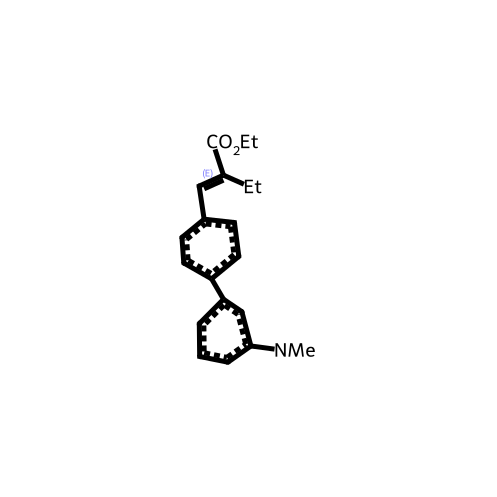 CCOC(=O)/C(=C/c1ccc(-c2cccc(NC)c2)cc1)CC